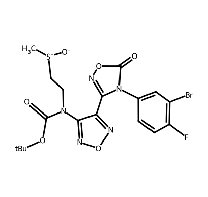 C[S+]([O-])CCN(C(=O)OC(C)(C)C)c1nonc1-c1noc(=O)n1-c1ccc(F)c(Br)c1